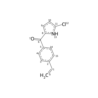 C=Cc1ccc(C(=O)c2ccc(Cl)[nH]2)cc1